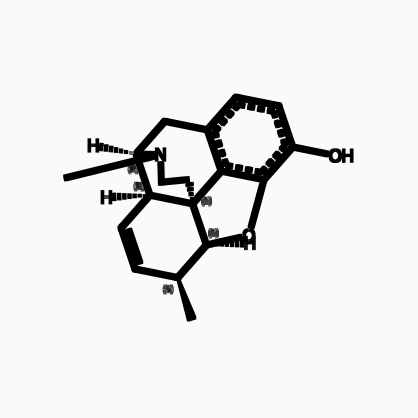 C[C@H]1C=C[C@H]2[C@H]3Cc4ccc(O)c5c4[C@@]2(CCN3C)[C@H]1O5